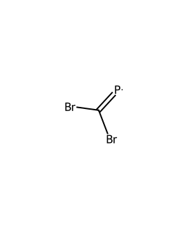 [P]=C(Br)Br